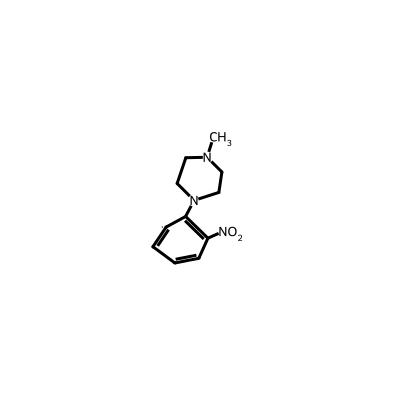 CN1CCN(c2[c]cccc2[N+](=O)[O-])CC1